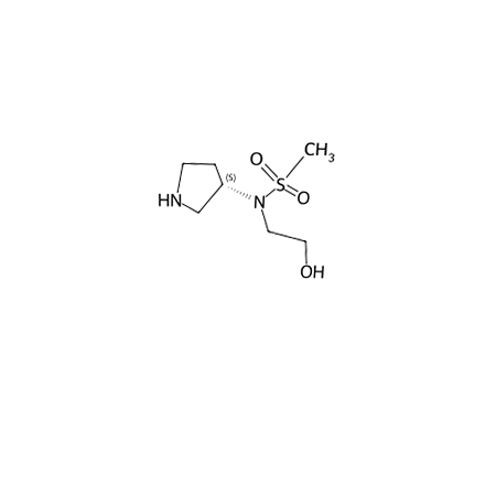 CS(=O)(=O)N(CCO)[C@H]1CCNC1